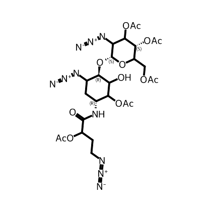 CC(=O)OCC1O[C@H](O[C@@H]2C(N=[N+]=[N-])C[C@@H](NC(=O)C(CCN=[N+]=[N-])OC(C)=O)C(OC(C)=O)C2O)C(N=[N+]=[N-])C(OC(C)=O)[C@@H]1OC(C)=O